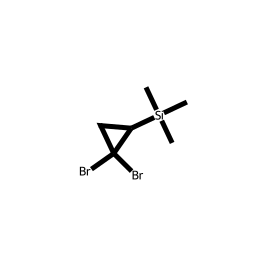 C[Si](C)(C)C1CC1(Br)Br